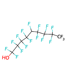 OC(F)(F)C(F)(F)C(F)(F)C(F)(F)C(F)C(F)(F)C(F)(F)C(F)(F)C(F)(F)F